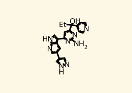 CCC(O)(c1ccncc1)c1cc(-c2c[nH]c3ncc(-c4cn[nH]c4)cc23)nc(N)n1